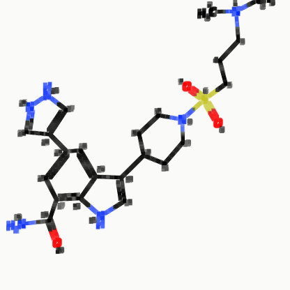 CN(C)CCCS(=O)(=O)N1CCC(c2c[nH]c3c(C(N)=O)cc(-c4cn[nH]c4)cc23)CC1